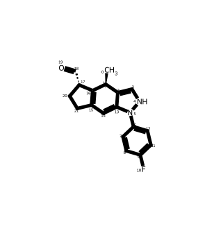 C[C@H]1C2=CNN(c3ccc(F)cc3)C2=CC2=C1[C@@H](C=O)CC2